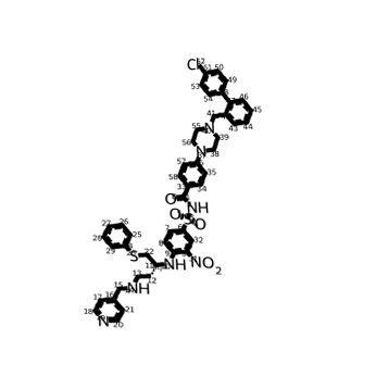 O=C(NS(=O)(=O)c1ccc(N[C@H](CCNCc2ccncc2)CSc2ccccc2)c([N+](=O)[O-])c1)c1ccc(N2CCN(Cc3ccccc3-c3ccc(Cl)cc3)CC2)cc1